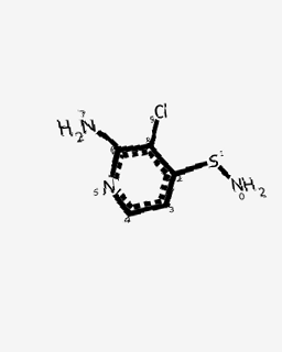 NSc1ccnc(N)c1Cl